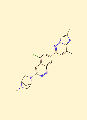 Cc1cn2nc(-c3cc(F)c4cc(N5CC6CC5CN6C)nnc4c3)cc(C)c2n1